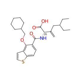 C=C(CC(CC)CC)[C@H](NC(=O)c1ccc2sccc2c1OCC1CCCCC1)C(=O)O